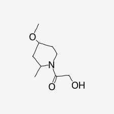 COC1CCN(C(=O)CO)C(C)C1